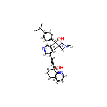 CC(C)c1ccc(C(O)(c2cncc(C#CC3(O)CCCc4cccnc43)c2)C2(C)CN(C)C2)cc1